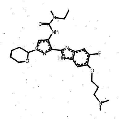 CCN(C)C(=O)Nc1cn(C2CCCCO2)nc1-c1nc2cc(F)c(OCCCN(C)C)cc2[nH]1